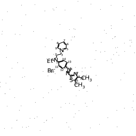 CCN(CC[n+]1ccccc1)c1ccc(N=Nc2nc(C)c(C)s2)cc1.[Br-]